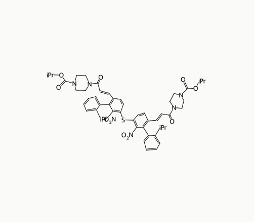 CC(C)OC(=O)N1CCN(C(=O)/C=C/c2ccc(Sc3ccc(/C=C/C(=O)N4CCN(C(=O)OC(C)C)CC4)c(-c4ccccc4C(C)C)c3[N+](=O)[O-])c([N+](=O)[O-])c2-c2ccccc2C(C)C)CC1